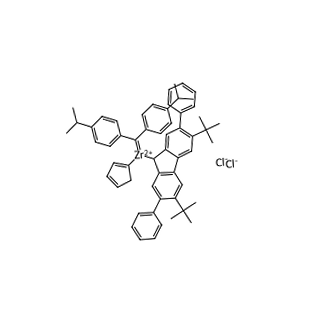 CC(C)c1ccc([C](c2ccc(C(C)C)cc2)=[Zr+2]([C]2=CC=CC2)[CH]2c3cc(-c4ccccc4)c(C(C)(C)C)cc3-c3cc(C(C)(C)C)c(-c4ccccc4)cc32)cc1.[Cl-].[Cl-]